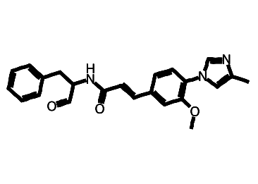 COc1cc(/C=C/C(=O)NC(C=O)Cc2ccccc2)ccc1-n1cnc(C)c1